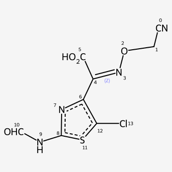 N#CCO/N=C(\C(=O)O)c1nc(NC=O)sc1Cl